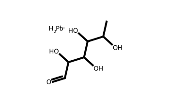 CC(O)C(O)C(O)C(O)C=O.[PbH2]